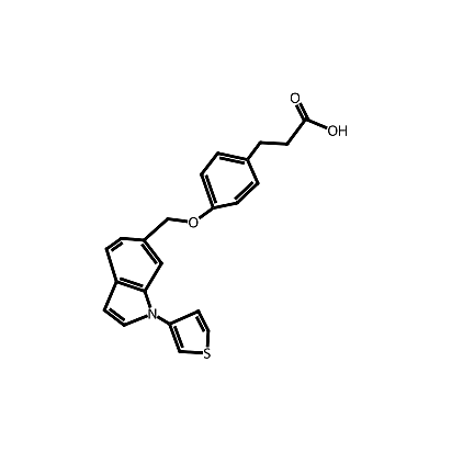 O=C(O)CCc1ccc(OCc2ccc3ccn(-c4ccsc4)c3c2)cc1